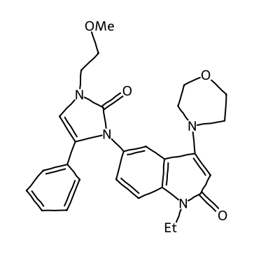 CCn1c(=O)cc(N2CCOCC2)c2cc(-n3c(-c4ccccc4)cn(CCOC)c3=O)ccc21